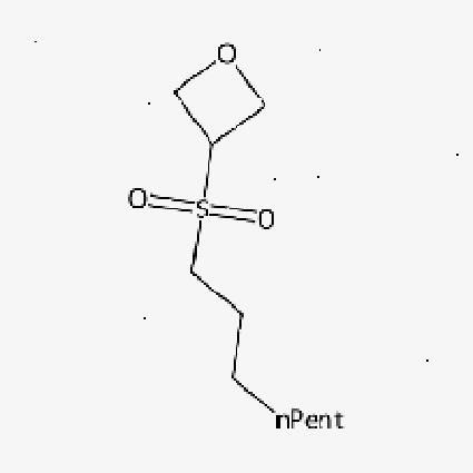 CCCCCCCCS(=O)(=O)C1COC1